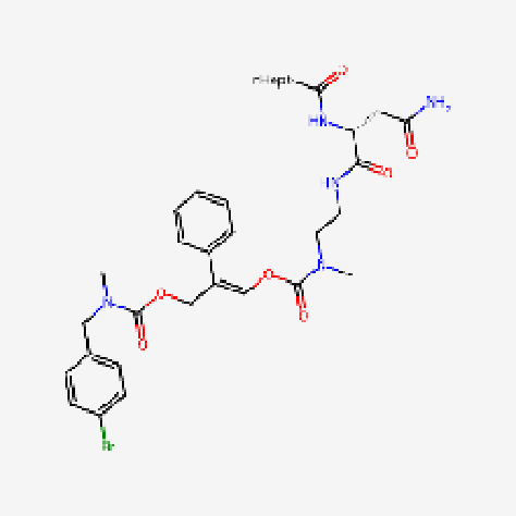 CCCCCCCC(=O)N[C@H](CC(N)=O)C(=O)NCCN(C)C(=O)O/C=C(/COC(=O)N(C)Cc1ccc(Br)cc1)c1ccccc1